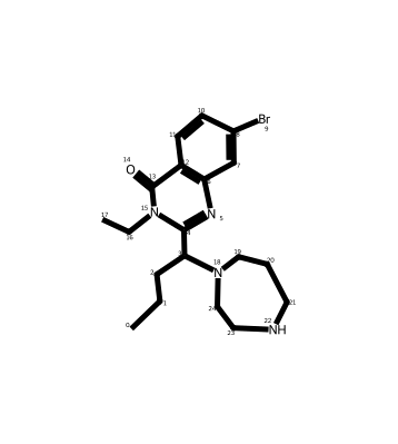 CCCC(c1nc2cc(Br)ccc2c(=O)n1CC)N1CCCNCC1